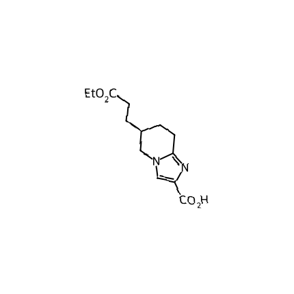 CCOC(=O)CCC1CCc2nc(C(=O)O)cn2C1